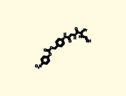 CC(C)C(NC=N)C(=O)NCC(=O)Nc1ccc(COC(=O)Oc2ccc([N+](=O)[O-])cc2)cc1